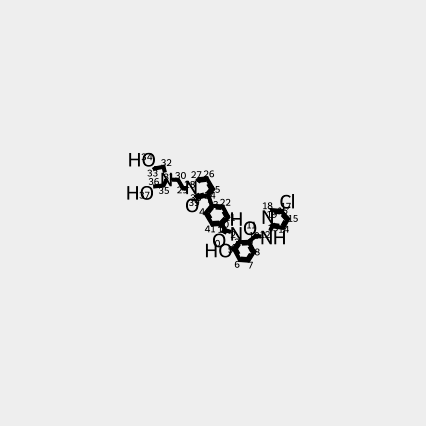 O=C(Nc1c(O)cccc1C(=O)Nc1ccc(Cl)cn1)c1ccc(-c2cccn(CCN(CCO)CCO)c2=O)cc1